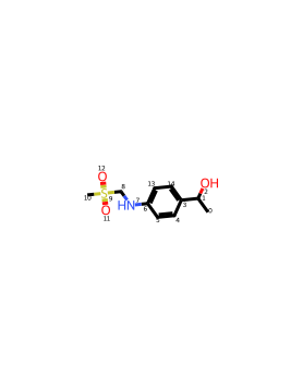 CC(O)c1ccc(NCS(C)(=O)=O)cc1